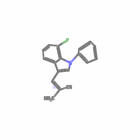 N#C/C(=C\c1cn(-c2ccccc2)c2c(F)cccc12)C(=O)O